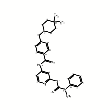 CN(C(=O)Oc1cc(NC(=O)c2ccc(CN3CCC(C)(C)CC3)cc2)ccn1)c1ccccc1